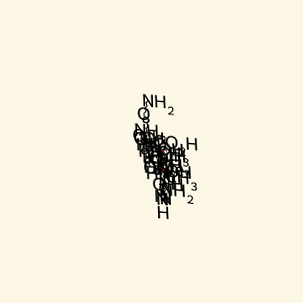 CCc1cc(OC)ccc1-c1ccc(C[C@H](NC(=O)C(CC(=O)O)NC(=O)C(CO)NC(=O)[C@@H](NC(=O)[C@](C)(Cc2ccccc2F)NC(=O)[C@@H](NC(=O)CNC(=O)[C@@H](N)Cc2nn[nH]n2)[C@@H](C)O)[C@@H](C)O)C(=O)N[C@@H](CCCc2ccc(OCCCCN)cc2)C(N)=O)cc1